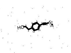 OCCc1ccc(C#CSI)cc1